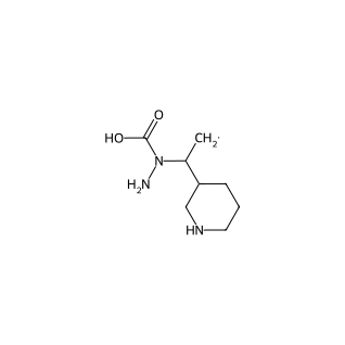 [CH2]C(C1CCCNC1)N(N)C(=O)O